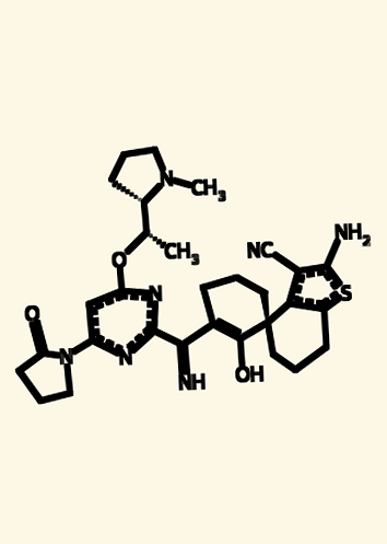 C[C@H](Oc1cc(N2CCCC2=O)nc(C(=N)C2=C(O)[C@@]3(CCC2)CCCc2sc(N)c(C#N)c23)n1)[C@@H]1CCCN1C